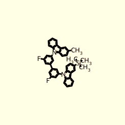 Cc1ccc2c(c1)c1ccccc1n2-c1cc(F)cc(-c2cc(F)cc(-n3c4ccccc4c4cc([Si](C)(C)C)ccc43)c2)c1